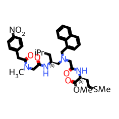 COC(=O)[C@H](CCSC)NC(=O)CN(Cc1cccc2ccccc12)C[C@H](CC(C)C)NC(=O)CN(C)C(=O)Cc1ccc([N+](=O)[O-])cc1